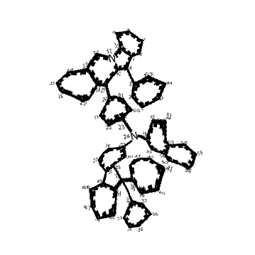 c1ccc(-c2c3ccccc3n3cc4ccccc4c(-c4ccc(N(c5ccc6c(c5)C(c5ccccc5)(c5ccccc5)c5ccccc5-6)c5ccc6ccccc6c5)cc4)c23)cc1